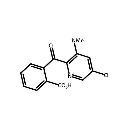 CNc1cc(Cl)cnc1C(=O)c1ccccc1C(=O)O